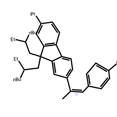 CCCCC(CC)CC1(CC(CC)CCCC)c2cc(/C(C)=C\c3ccc(F)cc3)ccc2-c2ccc(C(C)C)cc21